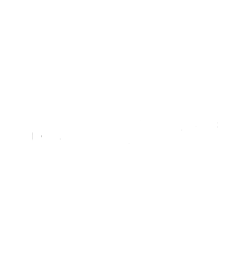 CC(C)c1cc(C(C)C)c2cc(S(=O)(=O)O)c(C(C)C)cc2c1